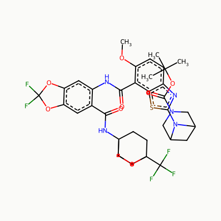 COc1ccc2nc(N3C4CC3CN(C(=O)OC(C)(C)C)C4)sc2c1C(=O)Nc1cc2c(cc1C(=O)NC13CCC(C(F)(F)F)(CC1)OC3)OC(F)(F)O2